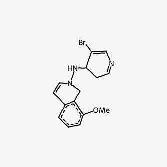 COc1cccc2c1CN(NC1CC=NC=C1Br)C=C2